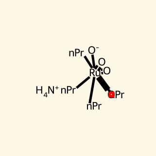 CC[CH2][Ru](=[O])(=[O])(=[O])([O-])([CH2]CC)([CH2]CC)[CH2]CC.[NH4+]